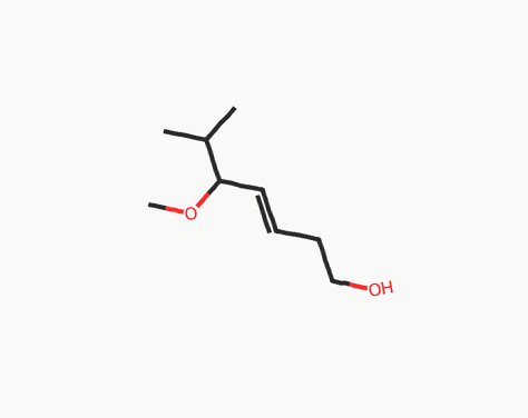 COC(/C=C/CCO)C(C)C